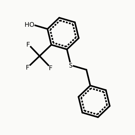 Oc1cccc(SCc2ccccc2)c1C(F)(F)F